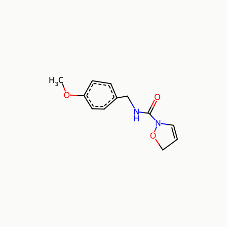 COc1ccc(CNC(=O)N2C=CCO2)cc1